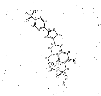 CS(=O)(=O)c1ccc(-c2csc(N(CCCC(=O)O)Cc3ccc(CP(=O)(OF)OF)c(Br)c3)n2)cc1